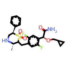 C[C@@H]1NC[C@@H](c2ccccc2)S(=O)(=O)C1Cc1cc(F)c([C@H](OCC2CC2)C(N)=O)cc1F